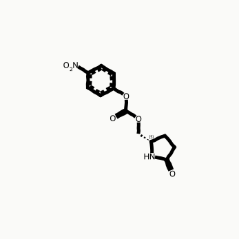 O=C1CC[C@@H](COC(=O)Oc2ccc([N+](=O)[O-])cc2)N1